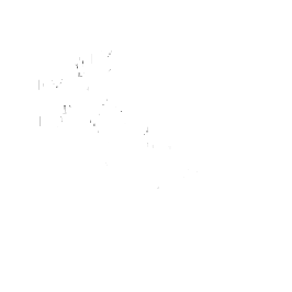 CCC=CCCOc1ccc2c(O)c(O[C@@H]3O[C@H](CO)[C@H](O)[C@H](O)[C@H]3O)c(=O)oc2c1